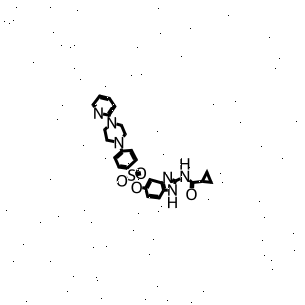 O=C(Nc1nc2cc(OS(=O)(=O)c3ccc(N4CCN(c5ccccn5)CC4)cc3)ccc2[nH]1)C1CC1